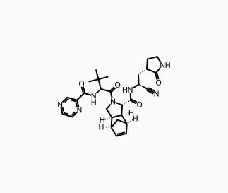 CC(C)(C)[C@H](NC(=O)c1cnccn1)C(=O)N1C[C@H]2[C@@H]([C@H]1C(=O)N[C@H](C#N)C[C@@H]1CCNC1=O)[C@H]1C=C[C@@H]2C1